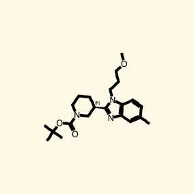 COCCCn1c([C@@H]2CCCN(C(=O)OC(C)(C)C)C2)nc2cc(C)ccc21